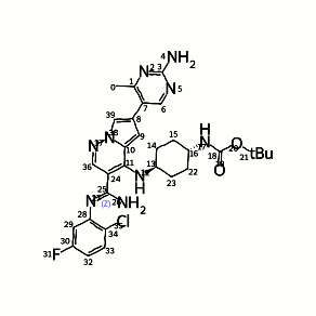 Cc1nc(N)ncc1-c1cc2c(N[C@H]3CC[C@H](NC(=O)OC(C)(C)C)CC3)c(/C(N)=N/c3cc(F)ccc3Cl)cnn2c1